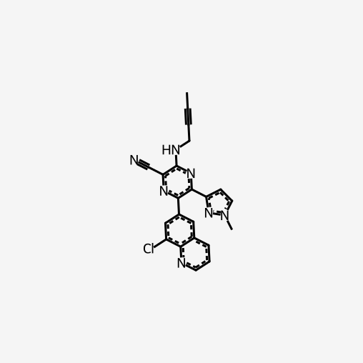 CC#CCNc1nc(-c2ccn(C)n2)c(-c2cc(Cl)c3ncccc3c2)nc1C#N